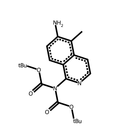 Cc1c(N)ccc2c(N(C(=O)OC(C)(C)C)C(=O)OC(C)(C)C)nccc12